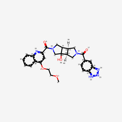 COCCOc1cc(C(=O)N2CC3[C@H]4CN(C(=O)c5ccc6[nH]nnc6c5)C[C@H]4C3(O)C2)nc2ccccc12